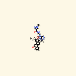 CC1C=c2c(ccc3c2=CC(=O)c2ccccc2-3)C(C)(N2CN(CCNC(=O)c3cnn(C(C)C)c3)c3cncnc32)C1=O